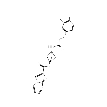 O=C(COc1ccc(Cl)c(F)c1)NC12CC(NC(=O)c3cn4cccnc4n3)(C1)C2